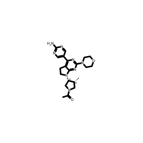 CC(=O)N1C[C@@H](C)[C@@H](N2CCc3c(-c4cnc(N)nc4)nc(N4CCOCC4)nc32)C1